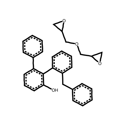 C(OCC1CO1)C1CO1.Oc1cccc(-c2ccccc2)c1-c1ccccc1Cc1ccccc1